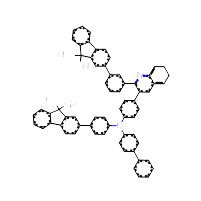 CC1(C)c2ccccc2-c2ccc(-c3ccc(N(c4ccc(-c5ccccc5)cc4)c4ccc(-c5cc6c(nc5-c5cccc(-c7ccc8c(c7)C(C)(C)c7ccccc7-8)c5)=CCCC=6)cc4)cc3)cc21